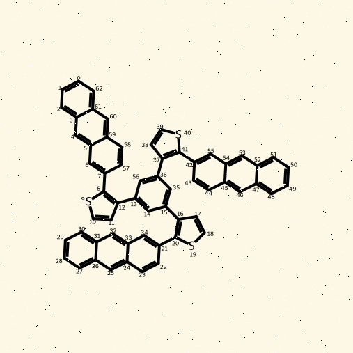 c1ccc2cc3cc(-c4sccc4-c4cc(-c5ccsc5-c5ccc6cc7ccccc7cc6c5)cc(-c5ccsc5-c5ccc6cc7ccccc7cc6c5)c4)ccc3cc2c1